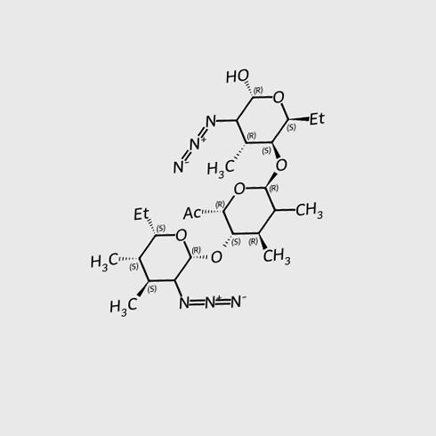 CC[C@@H]1O[C@H](O[C@H]2[C@H](C)C(C)[C@H](O[C@@H]3[C@H](CC)O[C@@H](O)C(N=[N+]=[N-])[C@H]3C)O[C@H]2C(C)=O)C(N=[N+]=[N-])[C@@H](C)[C@@H]1C